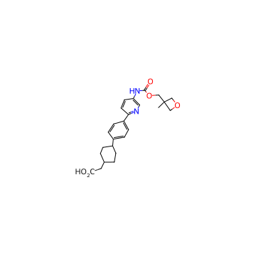 CC1(COC(=O)Nc2ccc(-c3ccc(C4CCC(CC(=O)O)CC4)cc3)nc2)COC1